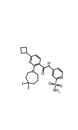 NS(=O)(=O)c1cc(NC(=O)c2ccc(C3CCC3)nc2N2CCCC(F)(F)CC2)ccn1